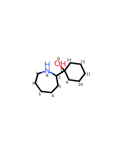 OC1(C2CCCCCN2)CCCCC1